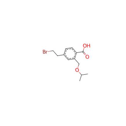 CC(C)OCc1cc(CCBr)ccc1C(=O)O